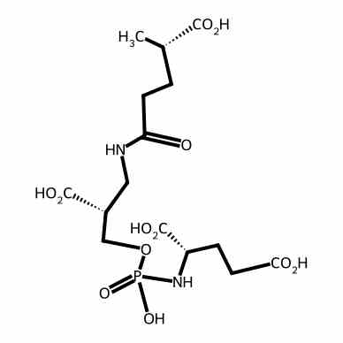 C[C@@H](CCC(=O)NC[C@H](COP(=O)(O)N[C@@H](CCC(=O)O)C(=O)O)C(=O)O)C(=O)O